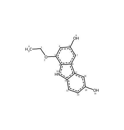 CCOc1cc(O)cc2c1[nH]c1ccc(O)cc12